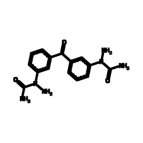 NC(=O)N(N)c1cccc(C(=O)c2cccc(N(N)C(N)=O)c2)c1